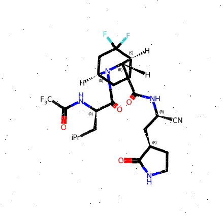 CC(C)C[C@@H](NC(=O)C(F)(F)F)C(=O)N1[C@H]2CC[C@@H]([C@@H]1C(=O)N[C@@H](C#N)C[C@H]1CCNC1=O)C(F)(F)C2